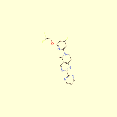 CC1c2cnc(-c3ncccn3)nc2CCN1c1cc(F)cc(OCC(F)F)n1